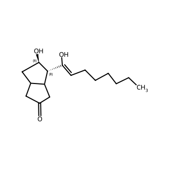 CCCCCCC=C(O)[C@@H]1C2CC(=O)CC2C[C@H]1O